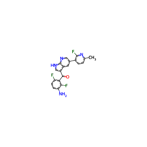 Cc1ccc(-c2cnc3[nH]cc(C(=O)c4c(F)ccc(N)c4F)c3c2)c(F)n1